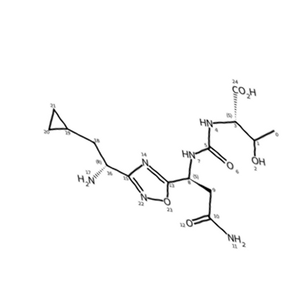 CC(O)[C@H](NC(=O)N[C@@H](CC(N)=O)c1nc([C@H](N)CC2CC2)no1)C(=O)O